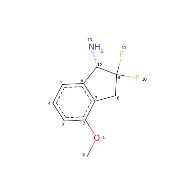 COc1cccc2c1CC(F)(F)[C@H]2N